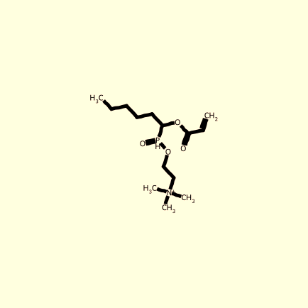 C=CC(=O)OC(CCCCC)[PH](=O)OCC[N+](C)(C)C